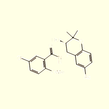 COc1ccc(Cl)cc1C(=O)N[C@H]1c2cc(C(C)=O)ccc2OC(C)(C)[C@@H]1O